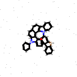 c1ccc(-n2c3ccccc3c3c4c(ccc5c6ccccc6n(-c6ccc7c(c6)sc6ccccc67)c54)ccc32)cc1